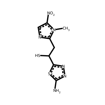 Cn1c([N+](=O)[O-])cnc1CC(S)c1nnc(N)s1